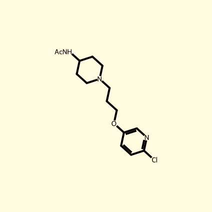 CC(=O)NC1CCN(CCCOc2ccc(Cl)nc2)CC1